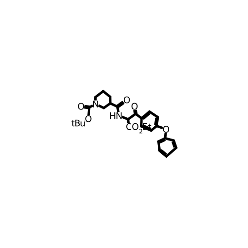 CCOC(=O)C(NC(=O)C1CCCN(C(=O)OC(C)(C)C)C1)C(=O)c1ccc(Oc2ccccc2)cc1